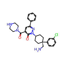 NC[C@]1(c2cccc(Cl)c2)CC[C@H](n2nc(-c3ccccc3)cc(C(=O)N3CCNCC3)c2=O)CC1